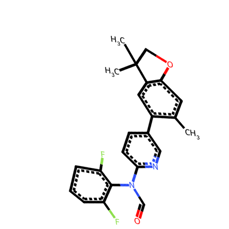 Cc1cc2c(cc1-c1ccc(N(C=O)c3c(F)cccc3F)nc1)C(C)(C)CO2